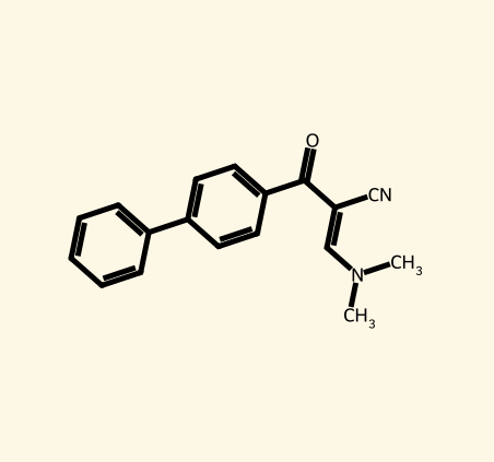 CN(C)C=C(C#N)C(=O)c1ccc(-c2ccccc2)cc1